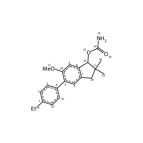 CCc1ccc(-c2cc3c(cc2OC)C(OC(N)=O)C(C)(C)C3)cc1